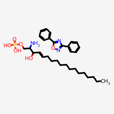 CCCCCCCCCCCCCC=CC(O)C(N)COP(=O)(O)O.c1ccc(-c2noc(-c3ccccc3)n2)cc1